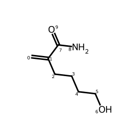 C=C(CCCCO)C(N)=O